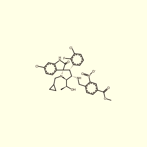 COC(=O)c1ccc(CN[C@@H]2[C@@H]([C@H](C)O)N(CC3CC3)[C@]3(C(=O)Nc4cc(Cl)ccc43)[C@@H]2c2cccc(Cl)c2F)c([N+](=O)[O-])c1